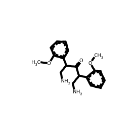 COc1ccccc1C(CN)C(=O)C(CN)c1ccccc1OC